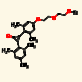 CCOCCOCCOc1cc(C)c(-c2c(-c3c(C)cc(C)cc3C)c2=O)c(C)c1